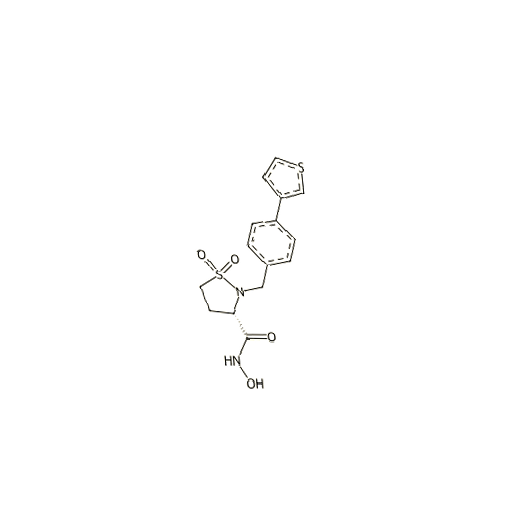 O=C(NO)[C@@H]1CCS(=O)(=O)N1Cc1ccc(-c2ccsc2)cc1